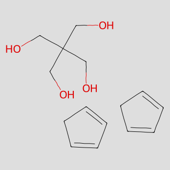 C1=CCC=C1.C1=CCC=C1.OCC(CO)(CO)CO